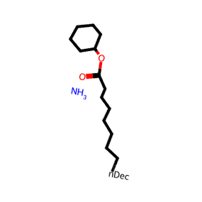 CCCCCCCCCCCCCCCCCC(=O)OC1CCCCC1.N